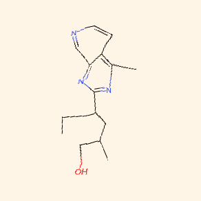 CCC(CC(C)CO)c1nc(C)c2ccncc2n1